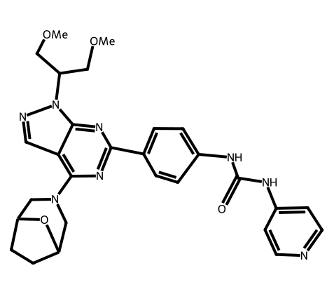 COCC(COC)n1ncc2c(N3CC4CCC(C3)O4)nc(-c3ccc(NC(=O)Nc4ccncc4)cc3)nc21